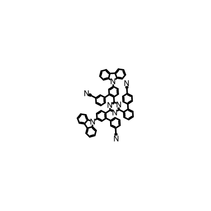 N#Cc1ccc(-c2ccccc2-c2nc(-c3ccc(-n4c5ccccc5c5ccccc54)cc3-c3cccc(C#N)c3)nc(-c3ccc(-n4c5ccccc5c5ccccc54)cc3-c3cccc(C#N)c3)n2)cc1